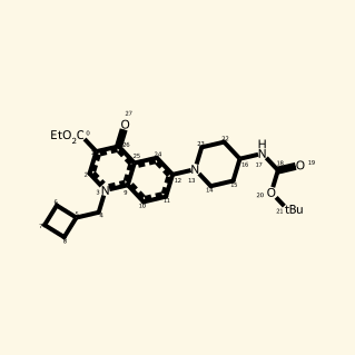 CCOC(=O)c1cn(CC2CCC2)c2ccc(N3CCC(NC(=O)OC(C)(C)C)CC3)cc2c1=O